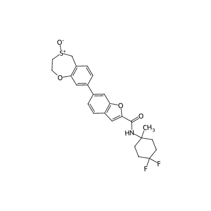 CC1(NC(=O)c2cc3ccc(-c4ccc5c(c4)OCC[S+]([O-])C5)cc3o2)CCC(F)(F)CC1